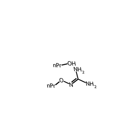 CCCO.CCCON=C(N)N